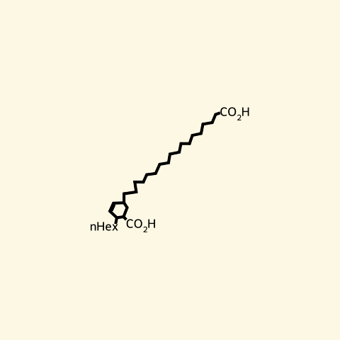 CCCCCCC1C=CC(CCCCCCCCCCCCCCCCCC(=O)O)CC1C(=O)O